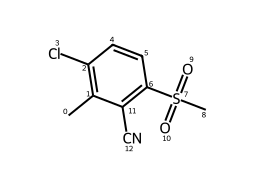 Cc1c(Cl)ccc(S(C)(=O)=O)c1C#N